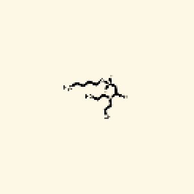 CCCCCOS(=O)(=O)CC(N)N(CCO)CCO